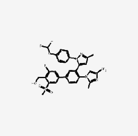 Cc1cc(-c2cc(-c3cc(F)c(CO)c(S(C)(=O)=O)c3)ccc2-n2cc(C(F)(F)F)nc2C)n(-c2ccc(OC(F)F)cc2)n1